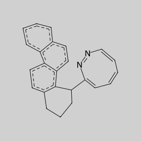 C1=CC=C(C2CCCc3ccc4c(ccc5ccccc54)c32)N=NC=C1